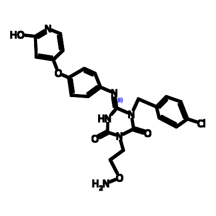 NOCCn1c(=O)[nH]/c(=N\c2ccc(Oc3ccnc(O)c3)cc2)n(Cc2ccc(Cl)cc2)c1=O